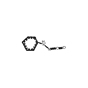 O=C=N[SiH2]c1ccccc1